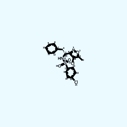 Cc1onc([C@@H](Cc2ccccc2)NS(=O)(=O)c2ccc(Cl)cc2)c1Cl